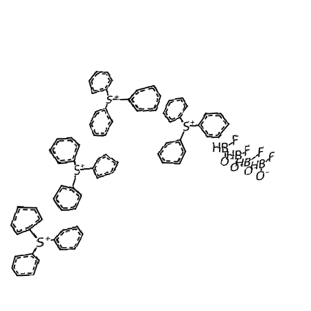 [O-]BF.[O-]BF.[O-]BF.[O-]BF.c1ccc([S+](c2ccccc2)c2ccccc2)cc1.c1ccc([S+](c2ccccc2)c2ccccc2)cc1.c1ccc([S+](c2ccccc2)c2ccccc2)cc1.c1ccc([S+](c2ccccc2)c2ccccc2)cc1